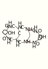 CC12CCCCC(C)(CCNC(=O)c3cccc(c3O)C(=O)NCC1)NCCNC1(C)CCCC(C)(CCNC(=O)c3cccc(c3O)C(=O)NCC1)NCCN2